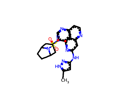 Cc1cc(Nc2cc3ncccc3c(NC3CC4CCC(C3)N4S(=O)(=O)c3cccnc3)n2)n[nH]1